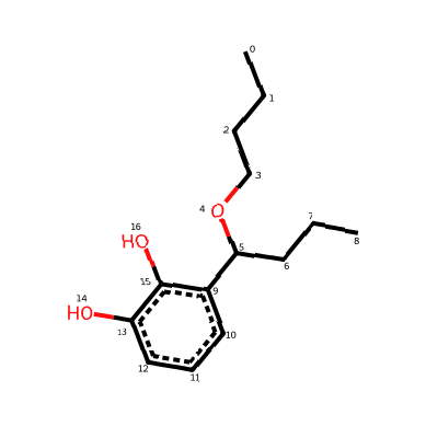 CCCCOC(CCC)c1cccc(O)c1O